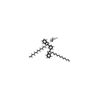 CCCCCCCCCCCCn1c(-c2cccc(-c3nc4ccccc4n3CCCCCCCCCCCC)n2)nc2ccccc21.[Cl-].[Cl-].[Co+2]